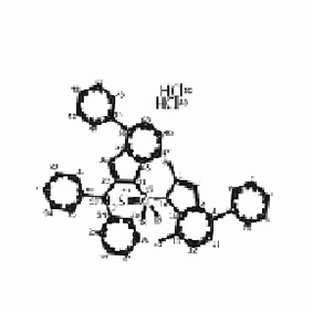 CC1=Cc2c(-c3ccccc3)ccc(C)c2[CH]1[Zr]([CH3])([CH3])(=[SiH2])[CH]1C(C(c2ccccc2)c2ccccc2)=Cc2c(-c3ccccc3)cccc21.Cl.Cl